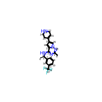 Cc1nc(N[C@H](C)c2cccc(C(F)(F)F)c2)c2cc(C3=CCNCC3)cn2n1